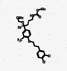 CC[C@@](CCCNC(=O)OC(C)(C)C)(OCOC)c1ccc(OCCCc2ccc(Cl)c(Cl)c2)c(C(F)(F)F)c1